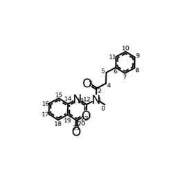 CN(C(=O)CCc1ccccc1)c1nc2ccccc2c(=O)o1